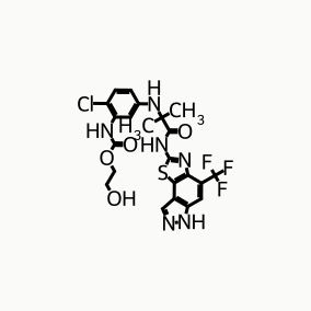 CC(C)(Nc1ccc(Cl)c(NC(=O)OCCO)c1)C(=O)Nc1nc2c(C(F)(F)F)cc3[nH]ncc3c2s1